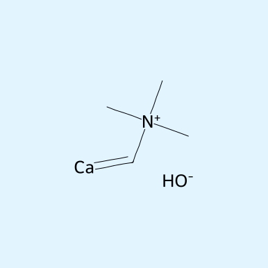 C[N+](C)(C)[CH]=[Ca].[OH-]